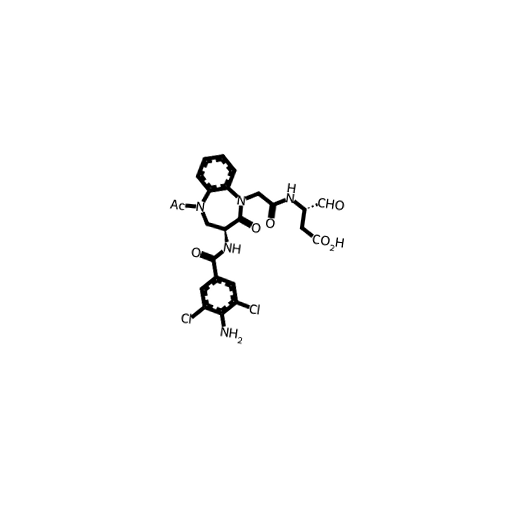 CC(=O)N1C[C@H](NC(=O)c2cc(Cl)c(N)c(Cl)c2)C(=O)N(CC(=O)N[C@H](C=O)CC(=O)O)c2ccccc21